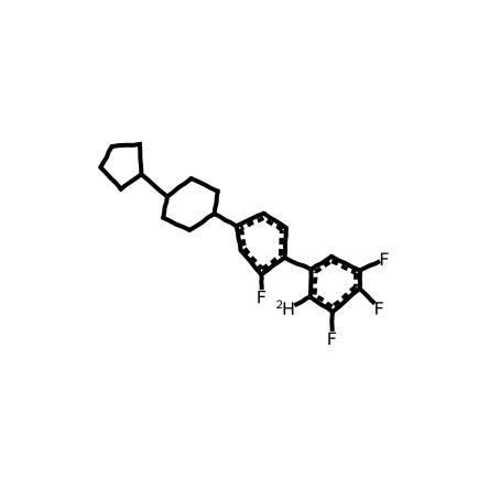 [2H]c1c(-c2ccc(C3CCC(C4CCCC4)CC3)cc2F)cc(F)c(F)c1F